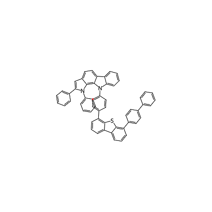 c1ccc(-c2ccc(-c3cccc4c3sc3c(-c5ccc(-n6c7ccccc7c7ccc8cc(-c9ccccc9)n(-c9ccccc9)c8c76)cc5)cccc34)cc2)cc1